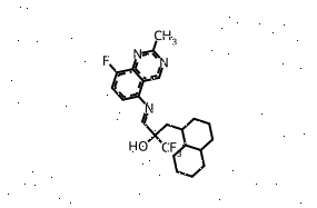 Cc1ncc2c(N=CC(O)(CC3CCCC4CCCCC43)C(F)(F)F)ccc(F)c2n1